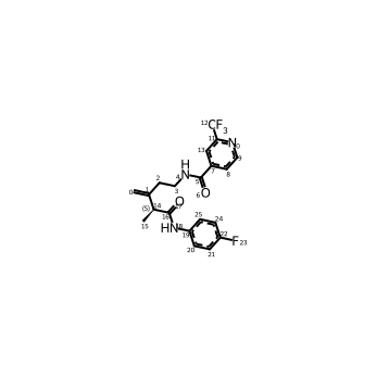 C=C(CCNC(=O)c1ccnc(C(F)(F)F)c1)[C@H](C)C(=O)Nc1ccc(F)cc1